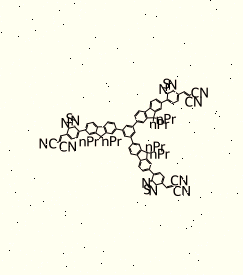 CCCC1(CCC)c2cc(-c3cc(-c4ccc5c(c4)C(CCC)(CCC)c4cc(-c6ccc(C=C(C#N)C#N)c7nsnc67)ccc4-5)cc(-c4ccc5c(c4)C(CCC)(CCC)c4cc(-c6ccc(C=C(C#N)C#N)c7nsnc67)ccc4-5)c3)ccc2-c2ccc(-c3ccc(C=C(C#N)C#N)c4nsnc34)cc21